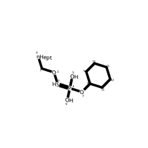 CCCCCCCCO[SH]=P(O)(O)OC1CCCCC1